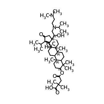 CC(C)C1=C2[C@H]3CCC4[C@@]5(C)CC[C@H](OC(=O)CC(C)(C)C(=O)O)C(C)(C)C5CC[C@@]4(C)[C@]3(C)CC[C@@]2([C@H](O)CN(CCN(C)C)C(C)C)CC1=O